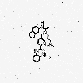 C=C(Nc1ccc2c(c1)CCC2)N(CCCN(C)C)Cc1ccc(C(=O)Nc2ccccc2N)nc1